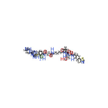 Cc1ncsc1-c1ccc([C@H](C)NC(=O)[C@@H]2C[C@@H](O)CN2C(=O)[C@@H](NC(=O)CCCCCNC(=O)CCC(=O)Nc2cccc(Sc3ncc(N4CCC(C)(N)CC4)nc3N)c2Cl)C(C)(C)C)cc1